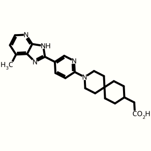 Cc1ccnc2[nH]c(-c3ccc(N4CCC5(CCC(CC(=O)O)CC5)CC4)nc3)nc12